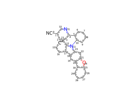 N#Cc1ccc(-c2ccccc2-n2c3ccccc3c3cc4c(cc32)oc2ccccc24)nc1